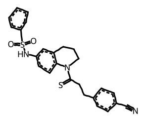 N#Cc1ccc(CCC(=S)N2CCCc3cc(NS(=O)(=O)c4ccccc4)ccc32)cc1